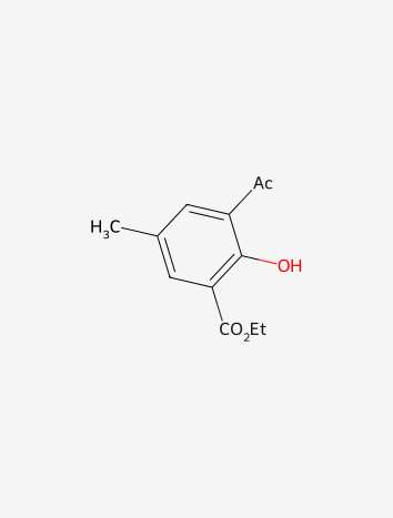 CCOC(=O)c1cc(C)cc(C(C)=O)c1O